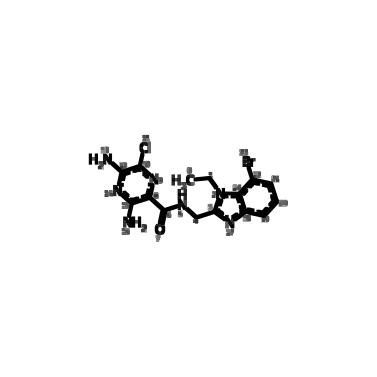 CCn1c(CNC(=O)c2nc(Cl)c(N)nc2N)nc2cccc(Br)c21